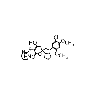 COc1cc(OC)c(CCC2(C3CCCC3)CC(O)=C(SC3=NCCCN3)C(=O)O2)cc1Cl